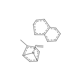 C=CN1c2ccc(C)c1c2.c1ccc2ccccc2c1